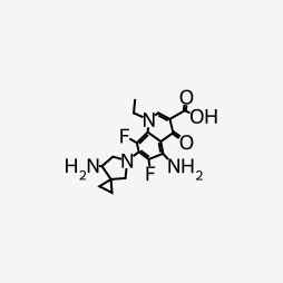 CCn1cc(C(=O)O)c(=O)c2c(N)c(F)c(N3CC(N)C4(CC4)C3)c(F)c21